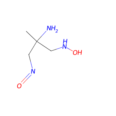 CC(N)(CN=O)CNO